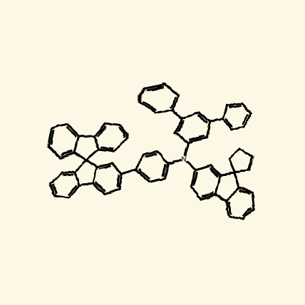 c1ccc(-c2cc(-c3ccccc3)cc(N(c3ccc(-c4ccc5c(c4)C4(c6ccccc6-c6ccccc64)c4ccccc4-5)cc3)c3ccc4c(c3)C3(CCCC3)c3ccccc3-4)c2)cc1